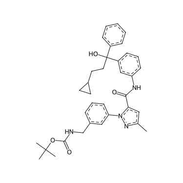 Cc1cc(C(=O)Nc2cccc(C(O)(CCC3CC3)c3ccccc3)c2)n(-c2cccc(CNC(=O)OC(C)(C)C)c2)n1